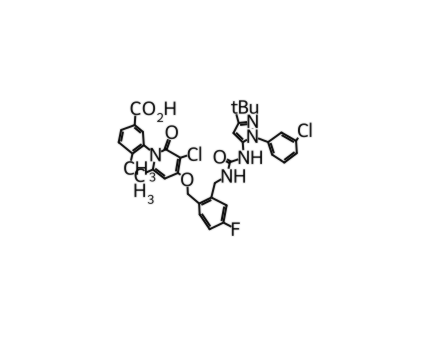 Cc1ccc(C(=O)O)cc1-n1c(C)cc(OCc2ccc(F)cc2CNC(=O)Nc2cc(C(C)(C)C)nn2-c2cccc(Cl)c2)c(Cl)c1=O